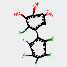 Oc1cc(-c2c(F)c(F)c(F)c(F)c2F)c(F)c(O)c1O